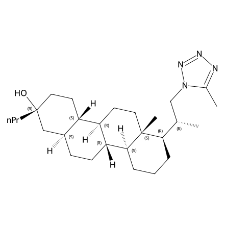 CCC[C@@]1(O)CC[C@H]2[C@@H](CC[C@@H]3[C@@H]2CC[C@]2(C)[C@@H]([C@@H](C)Cn4nnnc4C)CCC[C@@H]32)C1